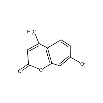 Cc1cc(=O)oc2cc([O])ccc12